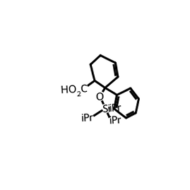 CC(C)[Si](OC1(c2ccccc2)C=CCCC1C(=O)O)(C(C)C)C(C)C